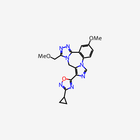 COCc1nnc2n1Cc1c(-c3nc(C4CC4)no3)ncn1-c1ccc(OC)cc1-2